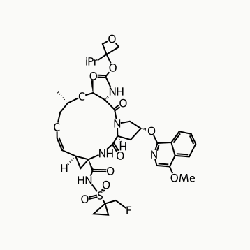 COc1cnc(O[C@@H]2C[C@H]3C(=O)N[C@]4(C(=O)NS(=O)(=O)C5(CF)CC5)C[C@H]4/C=C\CC[C@H](C)C[C@@H](C)[C@H](NC(=O)OC4(C(C)C)COC4)C(=O)N3C2)c2ccccc12